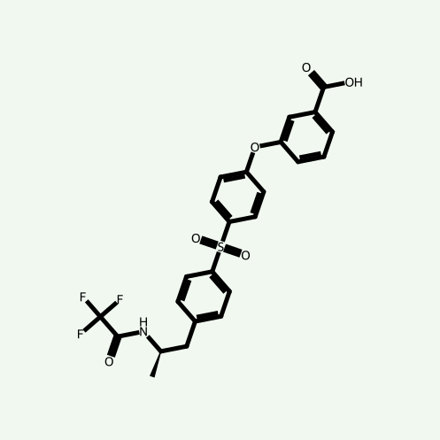 C[C@H](Cc1ccc(S(=O)(=O)c2ccc(Oc3cccc(C(=O)O)c3)cc2)cc1)NC(=O)C(F)(F)F